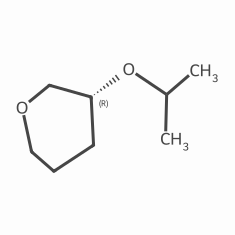 CC(C)O[C@@H]1CCCOC1